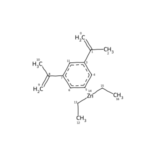 C=C(C)c1cccc(C(=C)C)c1.C[CH2][Zn][CH2]C